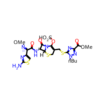 CCCCn1nc(C(=O)OC)nc1SCC1=C(OC(=O)O)N2C(=O)[C@@H](NC(=O)/C(=N\OC)c3csc(N)n3)[C@H]2SC1